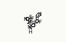 C=C(Nc1cnccc1C(F)(F)F)c1n[nH]c2ccc(-c3cc(F)cc(CN4CCN(C)CC4)c3)cc12